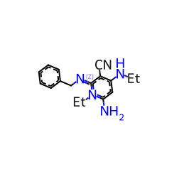 CCNc1cc(N)n(CC)/c(=N\Cc2ccccc2)c1C#N